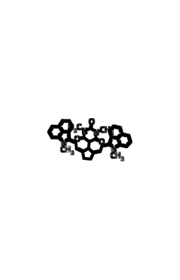 CN1C(=O)C(C2/C(=C\C=c3\c4cccc5cccc(c54)n3C)CC/C2=C/C=c2/c3cccc4cccc(c43)n2C)C(=O)N(C)C1=O